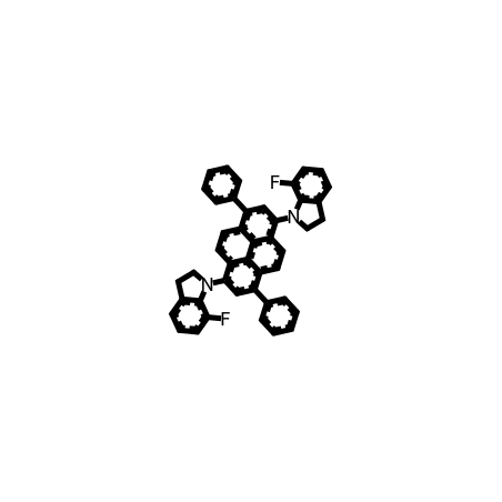 Fc1cccc2c1N(c1cc(-c3ccccc3)c3ccc4c(N5CCc6cccc(F)c65)cc(-c5ccccc5)c5ccc1c3c54)CC2